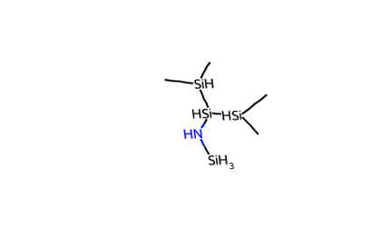 C[SiH](C)[SiH](N[SiH3])[SiH](C)C